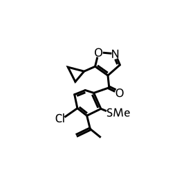 C=C(C)c1c(Cl)ccc(C(=O)c2cnoc2C2CC2)c1SC